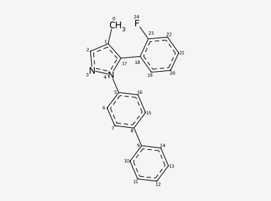 Cc1cnn(-c2ccc(-c3ccccc3)cc2)c1-c1ccccc1F